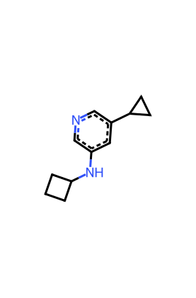 c1ncc(C2CC2)cc1NC1CCC1